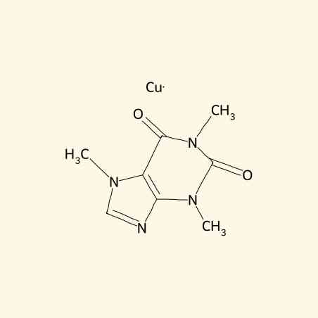 Cn1c(=O)c2c(ncn2C)n(C)c1=O.[Cu]